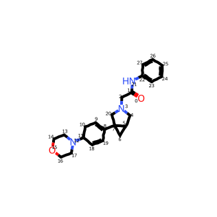 O=C(CN1CC2CC2(C2=CCC(N3CCOCC3)C=C2)C1)Nc1ccccc1